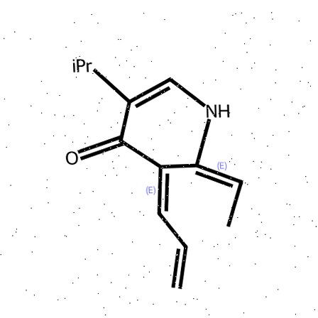 C=C/C=c1/c(=O)c(C(C)C)c[nH]/c1=C/C